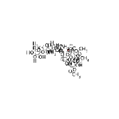 C=C1CO[C@@]2(O[C@H]3C[C@H]4[C@@H]5CC=C6C[C@@H](O)C[C@@H](O[C@@H]7OC[C@H](O)[C@H](O[C@@H]8OC[C@@H](OC(C)=O)[C@H](O)[C@H]8O)[C@H]7O[C@@H]7O[C@@H](C)[C@H](OC(C)=O)[C@@H](OC(C)=O)[C@H]7OC(C)=O)[C@]6(C)[C@H]5CC[C@]4(C)[C@H]3[C@@H]2C)[C@@H](O)[C@H]1O[C@@H]1O[C@H](C)[C@H](O)[C@H](O)[C@H]1O